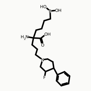 NC(CCCCB(O)O)(CCCN1CCC(c2ccccc2)C(F)C1)C(=O)O